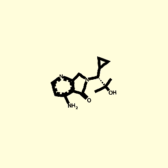 CC(C)(O)[C@@H](C1CC1)N1Cc2nccc(N)c2C1=O